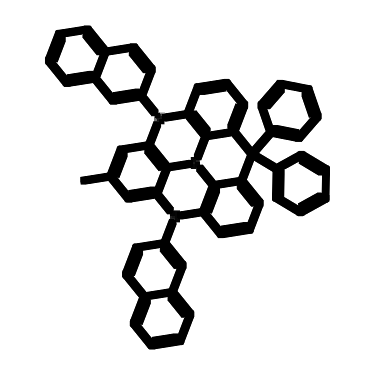 Cc1cc2c3c(c1)N(c1ccc4ccccc4c1)c1cccc4c1B3c1c(cccc1C4(c1ccccc1)c1ccccc1)N2c1ccc2ccccc2c1